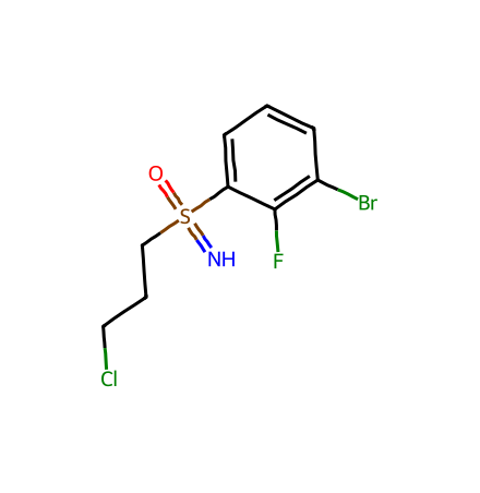 N=S(=O)(CCCCl)c1cccc(Br)c1F